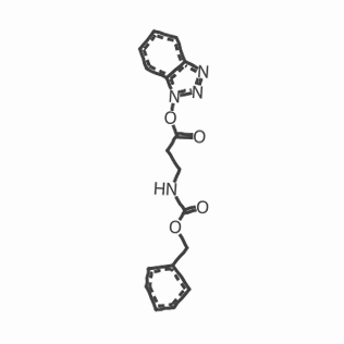 O=C(CCNC(=O)OCc1ccccc1)On1nnc2ccccc21